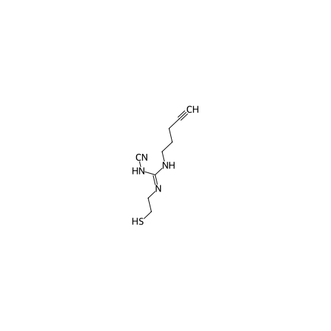 C#CCCCN/C(=N/CCS)NC#N